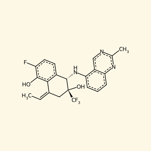 C/C=C1/C[C@](O)(C(F)(F)F)[C@@H](Nc2cccc3nc(C)ncc23)c2ccc(F)c(O)c21